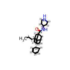 CCC[C@]12CC3CC(C(=O)NC4CCNCC4)(C1)C[C@@](C1C=CC=CC1)(C3)C2